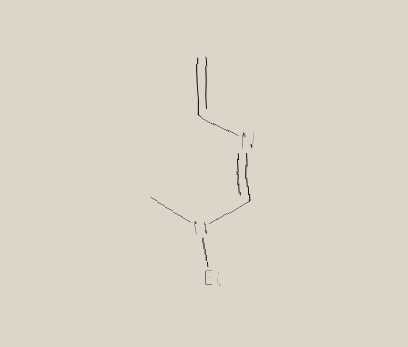 C=C/N=C\N(C)CC